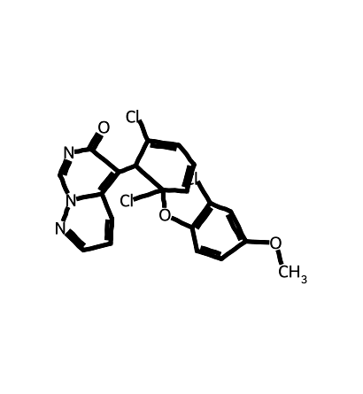 COc1ccc(OC2(Cl)C=CC=C(Cl)C2c2c(=O)ncn3ncccc23)c(Cl)c1